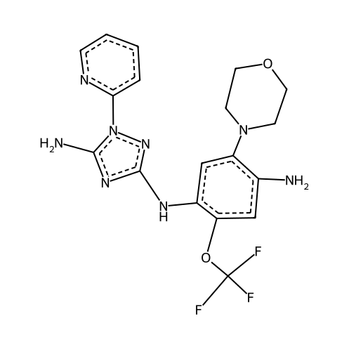 Nc1cc(OC(F)(F)F)c(Nc2nc(N)n(-c3ccccn3)n2)cc1N1CCOCC1